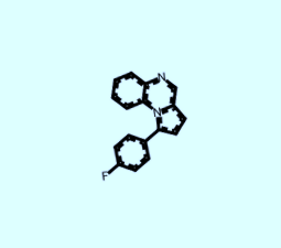 Fc1ccc(-c2ccc3cnc4ccccc4n23)cc1